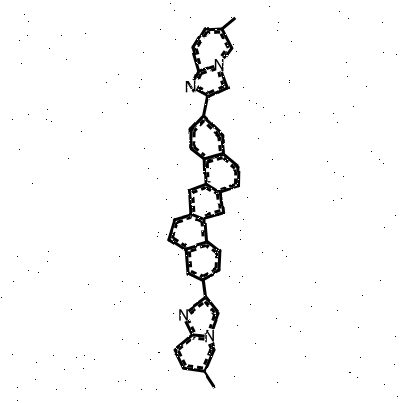 Cc1ccc2nc(-c3ccc4c(ccc5cc6c(ccc7cc(-c8cn9cc(C)ccc9n8)ccc76)cc54)c3)cn2c1